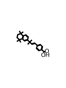 CC(C)(C=Cc1ccc(C(=O)O)cc1)c1ccc2c(c1)C(C)(C)CCC2(C)C